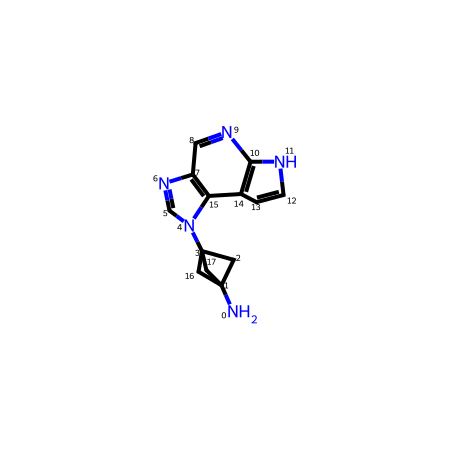 NC12CC(n3cnc4cnc5[nH]ccc5c43)(C1)C2